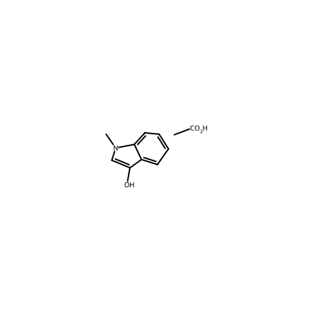 CC(=O)O.Cn1cc(O)c2ccccc21